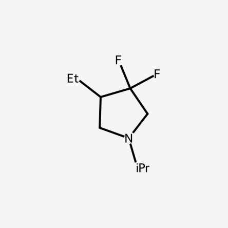 CCC1CN(C(C)C)CC1(F)F